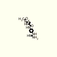 CC(=O)Nc1nc(C(=O)Nc2ccc(NC(=N)N)cc2)cs1